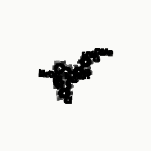 COC(=O)Nc1ccc(-c2cc(C(CC3CCCN(C(=O)OC)C3)NC(=O)C=Cc3cc(Cl)ccc3-n3cnnn3)n[nH]c2=O)cc1